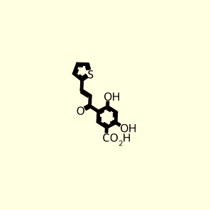 O=C(O)c1cc(C(=O)C=Cc2cccs2)c(O)cc1O